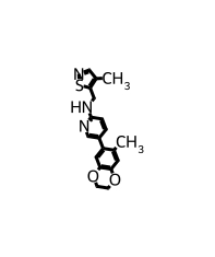 Cc1cc2c(cc1-c1ccc(NCc3sncc3C)nc1)OCCO2